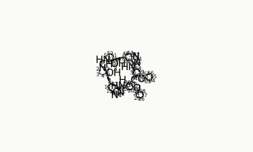 CN1CCCC(O)(C#Cc2ccc3ncnc(Nc4ccc(Oc5ccccc5)cc4)c3c2)C1.Cc1cc(Nc2ncnc3ccc(C#CC4(O)CCCNC4)cc23)ccc1Oc1ccccc1